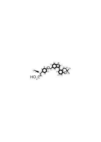 CC#C[C@@H](CC(=O)O)c1ccc(OCc2ccc3scc(-c4cccc5c4CCC(C)(C)O5)c3c2)cc1